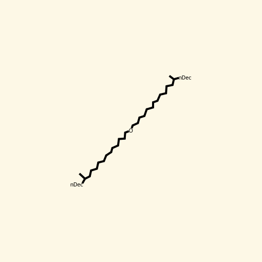 CCCCCCCCCCC(C)CCCCCCCCCCCCOCCCCCCCCCCCCC(C)CCCCCCCCCC